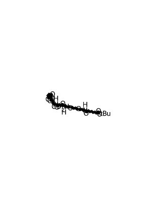 CC(C)(C)OC(=O)CCCCCCC(=O)NCCCOCCCCOCCCNC(=O)CCC(=O)N[C@@H](CCC(=O)ON1C(=O)CCC1=O)C(=O)O